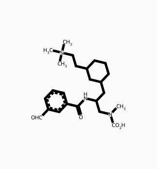 CN(CC(CC1CCCC(CC[Si](C)(C)C)C1)NC(=O)c1cccc(C=O)c1)C(=O)O